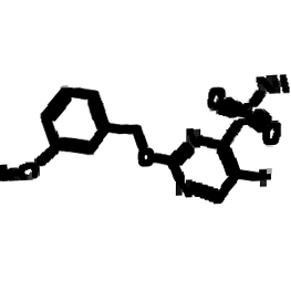 COc1cccc(COc2ncc(F)c(S(N)(=O)=O)n2)c1